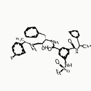 CCS(=O)(=O)Nc1cc(C(=O)N[C@@H](Cc2ccccc2)[C@H](O)CN[C@@H](C)c2ccc(F)cc2)cc(C(=O)N[C@H](C)c2ccccc2)c1